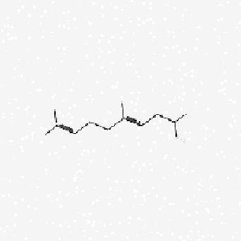 CCOC(=O)C(C#N)C/C=C(\C)CCC=C(C)C